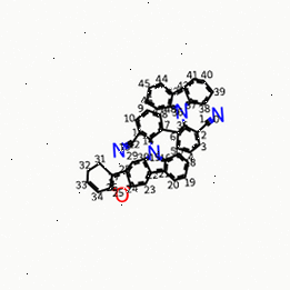 N#Cc1cccc(-c2cccc(C#N)c2-n2c3ccccc3c3cc4oc5c(c4cc32)CCC=C5)c1-n1c2ccccc2c2ccccc21